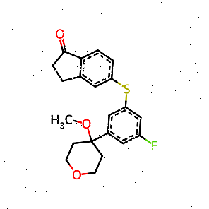 COC1(c2cc(F)cc(Sc3ccc4c(c3)CCC4=O)c2)CCOCC1